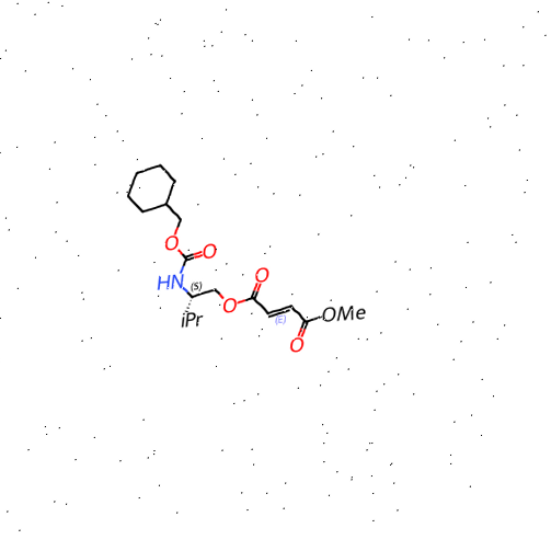 COC(=O)/C=C/C(=O)OC[C@@H](NC(=O)OCC1CCCCC1)C(C)C